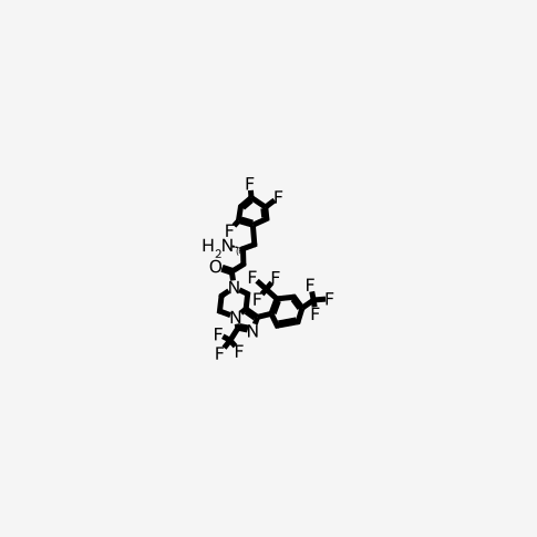 N[C@@H](CC(=O)N1CCn2c(C(F)(F)F)nc(-c3ccc(C(F)(F)F)cc3C(F)(F)F)c2C1)Cc1cc(F)c(F)cc1F